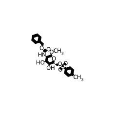 CO[C@H]1O[C@H](COS(=O)(=O)c2ccc(C)cc2)[C@@H](O)[C@H](O)[C@@H]1NC(=O)OCc1ccccc1